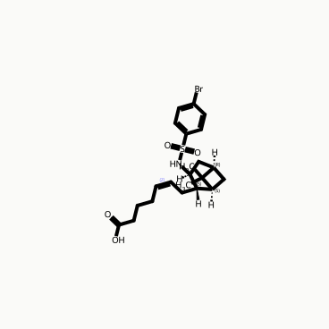 CC1(C)[C@H]2C[C@H](NS(=O)(=O)c3ccc(Br)cc3)[C@@H](C/C=C\CCCC(=O)O)[C@@H]1C2